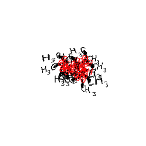 CCCCOCC1O[C@H](OCC2O[C@@H](O[C@@H]3C(COCCCC)O[C@@H](OCCCC)[C@@H](C)C3OCCCC)[C@H](OCCCC)C(O[C@@H]3OC(COCCCC)[C@H](OCCCC)C(OCCCC)[C@@H]3O[C@@H]3OC(COCCCC)[C@@H](OCCCC)C(OCCCC)[C@@H]3C)[C@@H]2O)[C@H](O)C(OCCCC)[C@@H]1OCCCC